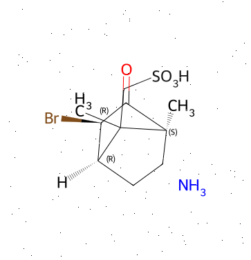 CC1(CS(=O)(=O)O)[C@H]2CC[C@]1(C)C(=O)[C@@H]2Br.N